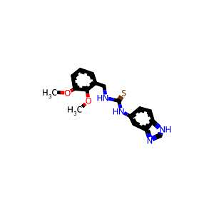 COc1cccc(CNC(=S)Nc2ccc3[nH]cnc3c2)c1OC